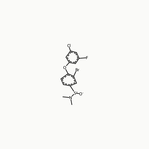 CN(C)[S+]([O-])c1ccc(Oc2cc(F)cc(Cl)c2)c(Br)c1